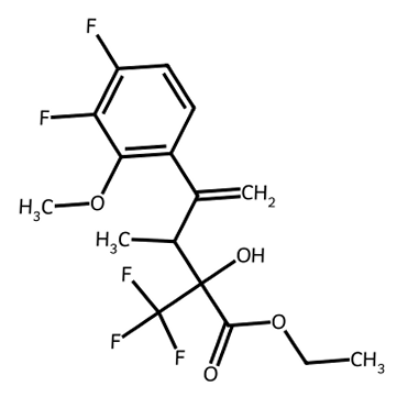 C=C(c1ccc(F)c(F)c1OC)C(C)C(O)(C(=O)OCC)C(F)(F)F